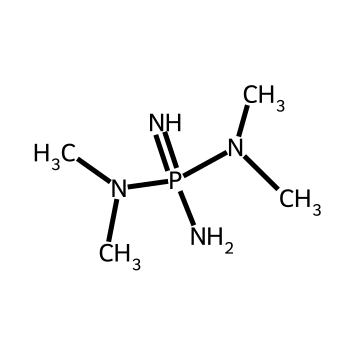 CN(C)P(=N)(N)N(C)C